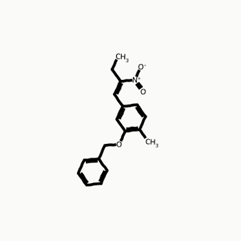 CCC(=Cc1ccc(C)c(OCc2ccccc2)c1)[N+](=O)[O-]